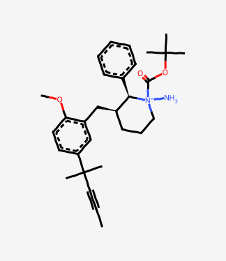 CC#CC(C)(C)c1ccc(OC)c(C[C@@H]2CCC[N+](N)(C(=O)OC(C)(C)C)[C@@H]2c2ccccc2)c1